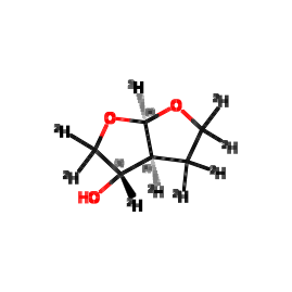 [2H]C1([2H])O[C@]2([2H])OC([2H])([2H])[C@@]([2H])(O)[C@]2([2H])C1([2H])[2H]